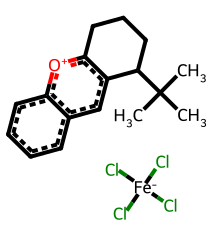 CC(C)(C)C1CCCc2[o+]c3ccccc3cc21.[Cl][Fe-]([Cl])([Cl])[Cl]